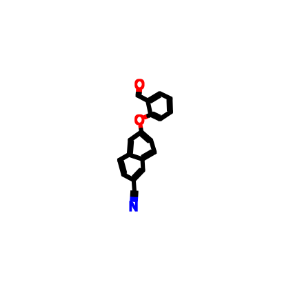 N#Cc1ccc2cc(Oc3ccccc3C=O)ccc2c1